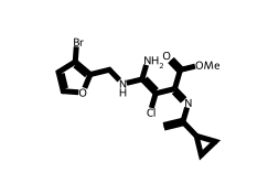 C=C(/N=C(C(=O)OC)\C(Cl)=C(/N)NCc1occc1Br)C1CC1